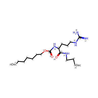 CCCCCCCCCCCCCCCCOC(=O)NC(CCCNC(=N)N)C(=O)NCCCCCCCCCCCC